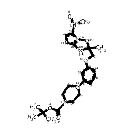 CC(C)(C)OC(=O)N1CCN(c2cccc(OCC3(C)Nc4ncc([N+](=O)[O-])n4O3)c2)CC1